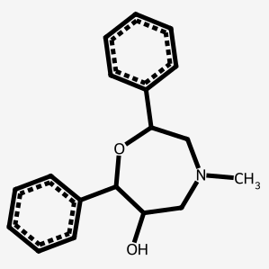 CN1CC(c2ccccc2)OC(c2ccccc2)C(O)C1